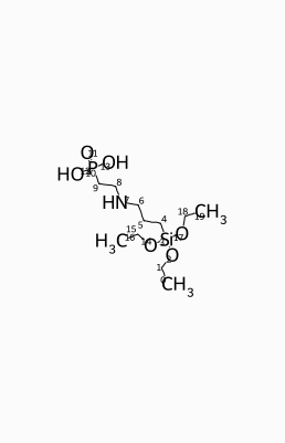 CCO[Si](CCCNCCP(=O)(O)O)(OCC)OCC